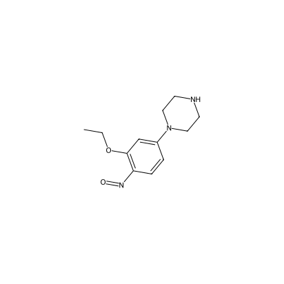 CCOc1cc(N2CCNCC2)ccc1N=O